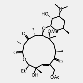 CC[C@H]1OC(=O)[C@H](C)C(=O)[C@H](C)[C@@H](O[C@@H]2O[C@H](C)C[C@H](N(C)C)[C@H]2O)[C@@](C)(OC)C[C@@H](C)C(=O)/C(COC(C)=O)=C/[C@]1(C)O